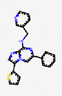 c1ccc(-c2cn3c(-c4cccs4)cnc3c(NCc3cccnc3)n2)cc1